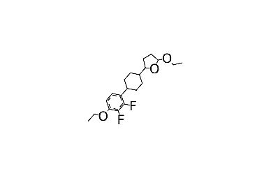 CCOc1ccc(C2CCC(C3CCC(OCC)O3)CC2)c(F)c1F